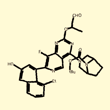 CCc1cccc2cc(O)cc(-c3ncc4c(N5CC6CCC(C5)N6C(=O)OC(C)(C)C)nc(OC(C)C=O)nc4c3F)c12